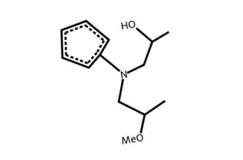 COC(C)CN(CC(C)O)c1ccccc1